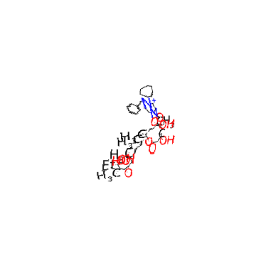 CC[C@H](O)[C@@H](C)[C@H]1O[C@@H]1C[C@@](C)(O)/C=C/C=C(\C)[C@H]1OC(=O)C[C@H](O)CC[C@@](C)(O)[C@@H](OC(=O)N2CC[N+](Cc3ccccc3)(C3CCCCCC3)CC2)/C=C/[C@@H]1C